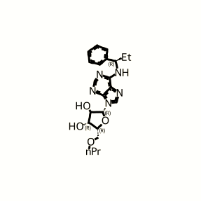 CCCOC[C@H]1O[C@@H](n2cnc3c(N[C@H](CC)c4ccccc4)ncnc32)C(O)[C@H]1O